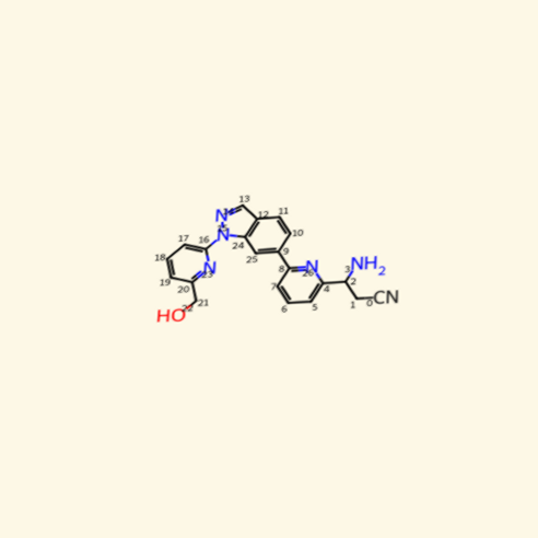 N#CCC(N)c1cccc(-c2ccc3cnn(-c4cccc(CO)n4)c3c2)n1